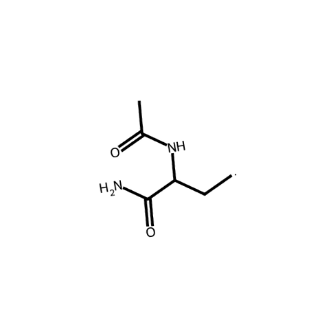 [CH2]CC(NC(C)=O)C(N)=O